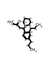 C=CC(=O)CC(c1ccc(CCC)cc1CCC)N1CCCCC1